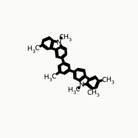 Cc1cc(-c2ccc3c(c2)c2cc(C)ccc2n3C)cc(-c2ccc3c4cc(C)cc(C)c4n(C)c3c2)c1